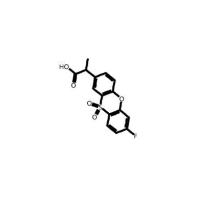 CC(C(=O)O)c1ccc2c(c1)S(=O)(=O)c1ccc(F)cc1O2